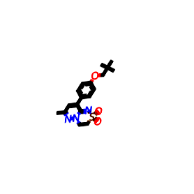 CC1=NN2CCS(=O)(=O)N=C2C(c2ccc(OCC(C)(C)C)cc2)=C1